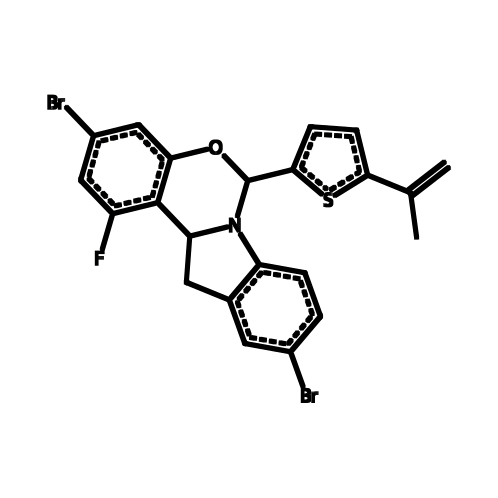 C=C(C)c1ccc(C2Oc3cc(Br)cc(F)c3C3Cc4cc(Br)ccc4N32)s1